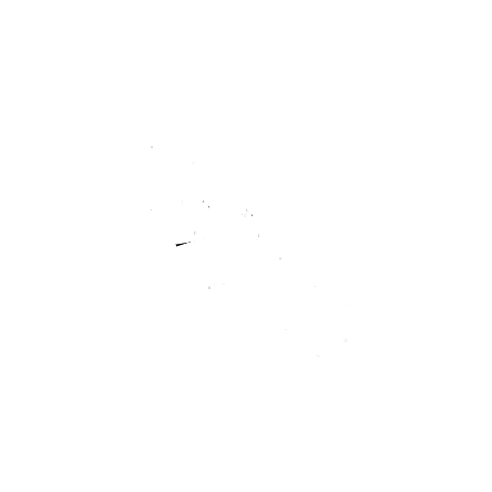 C[C@@H](NC(=O)OC(C)(C)C)C(O)C(CCc1ccccc1)[N+](=O)[O-]